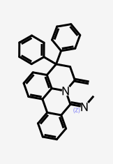 C=C1CC(c2ccccc2)(c2ccccc2)c2cccc3c4ccccc4/c(=N/C)n1c23